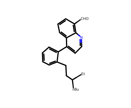 CCCCC(CC)CCc1ccccc1-c1ccnc2c(C=O)cccc12